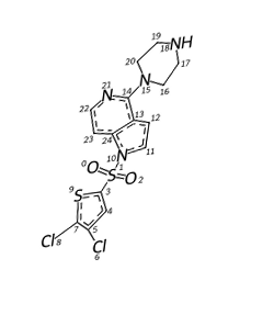 O=S(=O)(c1cc(Cl)c(Cl)s1)n1ccc2c(N3CCNCC3)nccc21